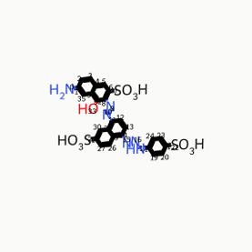 Nc1ccc2cc(S(=O)(=O)O)c(N=Nc3ccc(N=NNc4ccc(S(=O)(=O)O)cc4)c4ccc(S(=O)(=O)O)cc34)c(O)c2c1